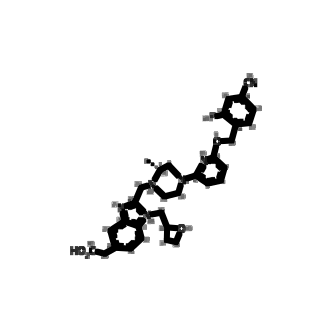 C[C@@H]1CN(c2cccc(OCc3ccc(C#N)cc3F)n2)CCN1Cc1nc2cc(CC(=O)O)ccc2n1CC1CCO1